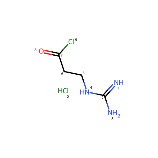 Cl.N=C(N)NCCC(=O)Cl